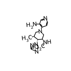 C[C@H]1CN(c2ccncc2N)C[C@@H](NC(=O)O)[C@@H]1n1cncn1